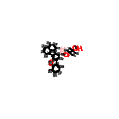 CC(C)(O)C(C)(C)OBc1cc2c(oc3ccccc32)c2c1-c1cccc3cccc-2c13